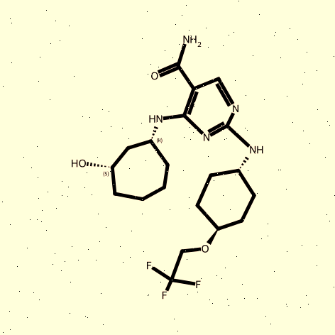 NC(=O)c1cnc(N[C@H]2CC[C@H](OCC(F)(F)F)CC2)nc1N[C@@H]1CCCC[C@H](O)C1